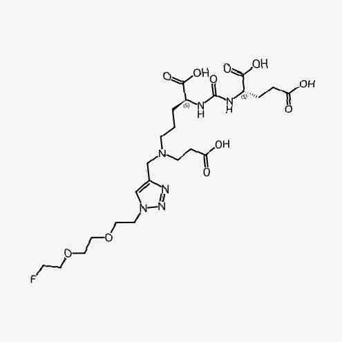 O=C(O)CC[C@H](NC(=O)N[C@@H](CCCN(CCC(=O)O)Cc1cn(CCOCCOCCF)nn1)C(=O)O)C(=O)O